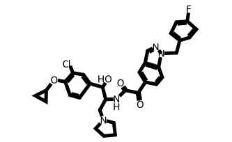 O=C(NC(CN1CCCC1)C(O)c1ccc(OC2CC2)c(Cl)c1)C(=O)c1ccc2c(cnn2Cc2ccc(F)cc2)c1